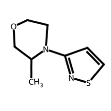 CC1COCCN1c1ccsn1